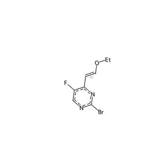 CCO/C=C/c1nc(Br)ncc1F